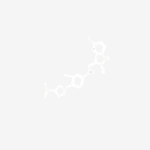 Cc1cc(N/C=C2\C(=O)Nc3ccc(F)cc32)ccc1N1CCC(N(C)C)C1